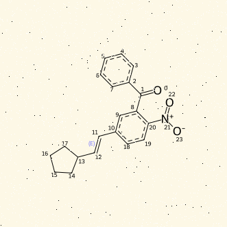 O=C(c1ccccc1)c1cc(/C=C/C2CCCC2)ccc1[N+](=O)[O-]